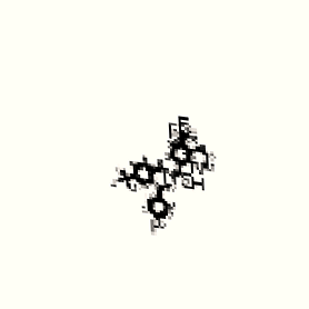 CC(C)(C)c1ccc(CN(CCc2ccc(F)cc2)C(=O)c2ccc(C(F)(F)F)c3c2NCCC3)cc1